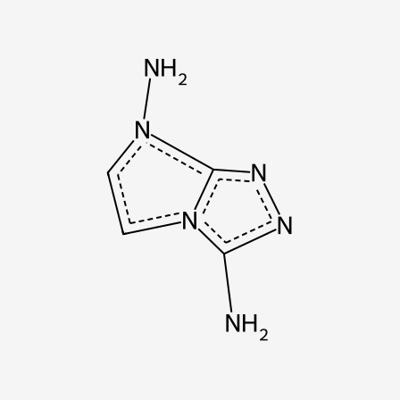 Nc1nnc2n(N)ccn12